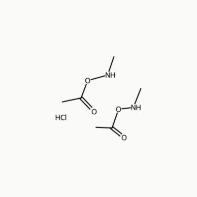 CNOC(C)=O.CNOC(C)=O.Cl